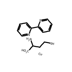 NC(CCS)C(=O)O.[Cu].c1ccc(-c2ccccn2)nc1